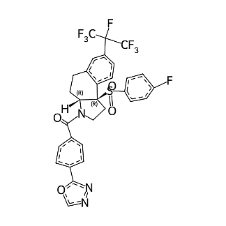 O=C(c1ccc(-c2nnco2)cc1)N1CC[C@@]2(S(=O)(=O)c3ccc(F)cc3)c3ccc(C(F)(C(F)(F)F)C(F)(F)F)cc3CC[C@@H]12